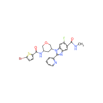 CNC(=O)c1cc2nc(-c3ccccn3)n(C3COCC(NC(=O)c4ccc(Br)s4)C3)c2cc1F